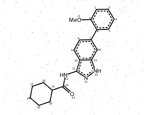 COc1ccccc1-c1ccc2c(NC(=O)C3CCCCC3)n[nH]c2c1